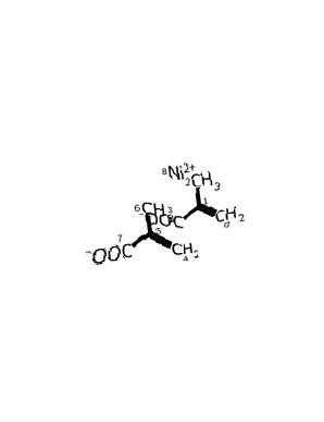 C=C(C)C(=O)[O-].C=C(C)C(=O)[O-].[Ni+2]